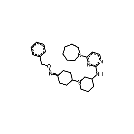 c1ccc(CON=C2CCC(N3CCCC(Nc4nccc(N5CCCCCC5)n4)C3)CC2)cc1